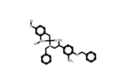 CCOc1ccc(CC(CC)(CC)N(Cc2ccccc2)CC(O)c2ccc(OCc3ccccc3)c([N+](=O)[O-])c2)c(OCC)c1